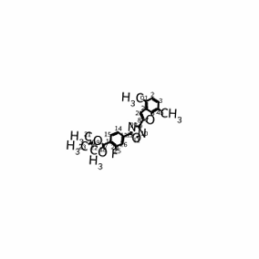 Cc1ccc(C)c2oc(-c3noc(-c4ccc(C(=O)OC(C)(C)C)c(F)c4)n3)cc12